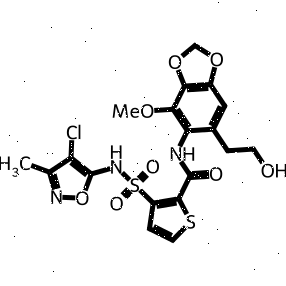 COc1c(NC(=O)c2sccc2S(=O)(=O)Nc2onc(C)c2Cl)c(CCO)cc2c1OCO2